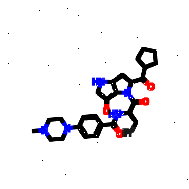 CC(C)CC(NC(=O)c1ccc(N2CCN(C)CC2)cc1)C(=O)N1C(C(=O)C2CCCC2)CC2NCC(=O)C21